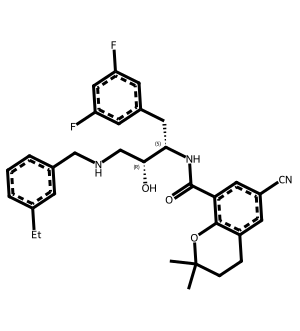 CCc1cccc(CNC[C@@H](O)[C@H](Cc2cc(F)cc(F)c2)NC(=O)c2cc(C#N)cc3c2OC(C)(C)CC3)c1